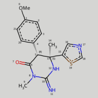 COc1ccc([C@H]2C(=O)N(C)C(=N)N[C@]2(C)c2cncs2)cc1